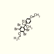 C=COc1ccc(C(C)(C)c2c(Br)c(Br)c(OC=C)c(Br)c2Br)cc1